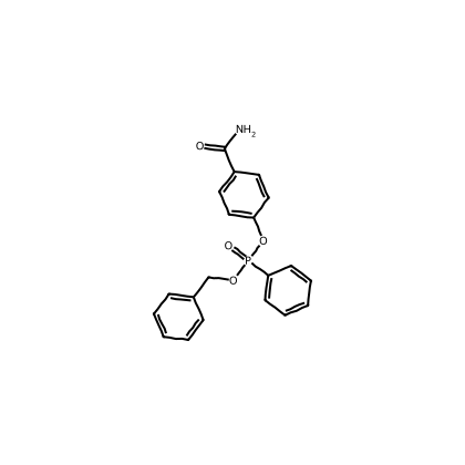 NC(=O)c1ccc(OP(=O)(OCc2ccccc2)c2ccccc2)cc1